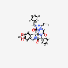 CCN1CC(=O)N2[C@@H](c3ccccc3)C(=O)N(Cc3ccc4c(c3)OCO4)C[C@@H]2N1C(=O)NCc1ccccc1